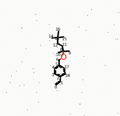 C=Cc1ccc(COC(C)(C)CCC(C)(C)C)cc1